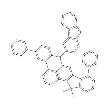 CC1(C)c2ccc(N(c3ccc4oc5ccccc5c4c3)c3ccc(-c4ccccc4)cc3-c3ccccc3)cc2-c2c(-c3ccccc3)cccc21